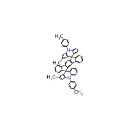 Cc1ccc(N2c3ccccc3C3(c4ccccc4-c4cc5c(cc43)-c3ccccc3C53c4ccccc4N(c4ccc(C)cc4)c4ccc(C)cc43)c3cc(C)ccc32)cc1